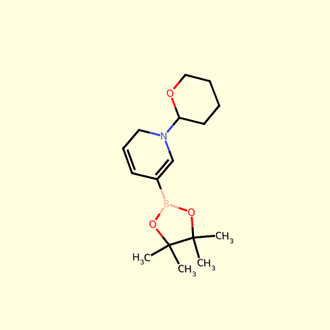 CC1(C)OB(C2=CN(C3CCCCO3)CC=C2)OC1(C)C